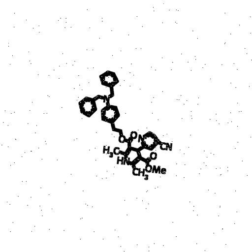 COC(=O)C1=C(C)NC(C)=C(C(=O)OCCc2ccc(N(Cc3ccccc3)Cc3ccccc3)cc2)C1c1cc(C#N)ccn1